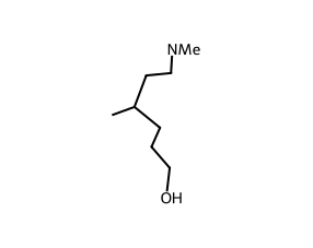 CNCCC(C)CCCO